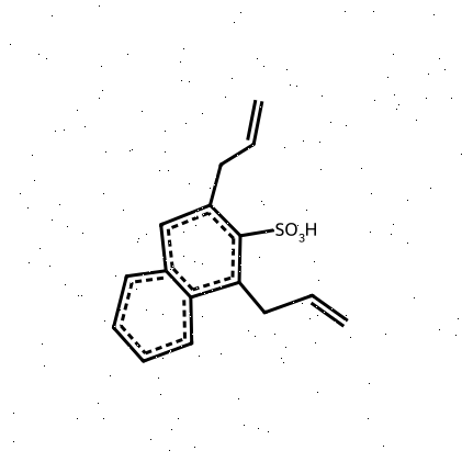 C=CCc1cc2ccccc2c(CC=C)c1S(=O)(=O)O